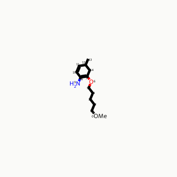 COCCCCCOC1=C(N)C=CC(C)C1